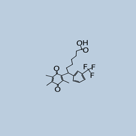 CC1=C(C)C(=O)C(C(CCCCCC(=O)O)c2cccc(C(F)(F)F)c2)=C(C)C1=O